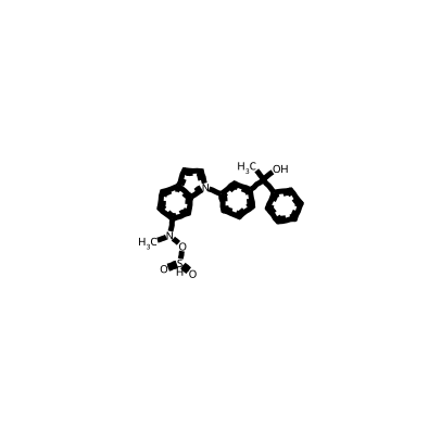 CN(O[SH](=O)=O)c1ccc2ccn(-c3cccc(C(C)(O)c4ccccc4)c3)c2c1